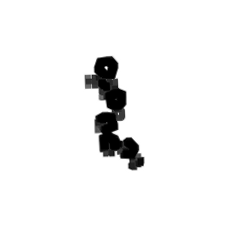 CN(C)[C@@H]1CCN(c2cc(-c3cc(Oc4ccc5nc(NC6CCCCC6)sc5c4)ccn3)ccn2)C1